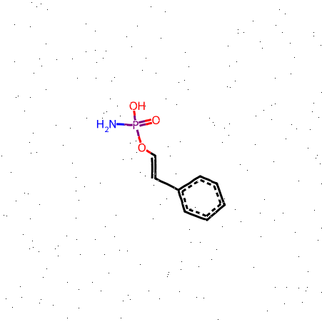 NP(=O)(O)OC=Cc1ccccc1